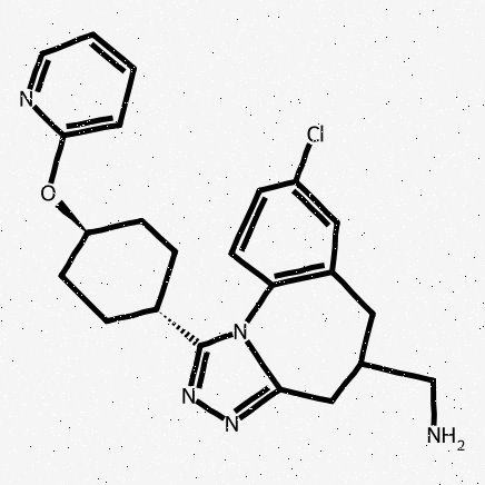 NCC1Cc2cc(Cl)ccc2-n2c(nnc2[C@H]2CC[C@H](Oc3ccccn3)CC2)C1